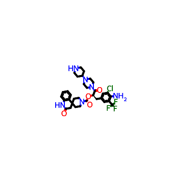 Nc1c(Cl)cc(C[C@@H](OC(=O)N2CCC3(CC2)CC(=O)Nc2ccccc23)C(=O)N2CCN(C3CCNCC3)CC2)cc1C(F)(F)F